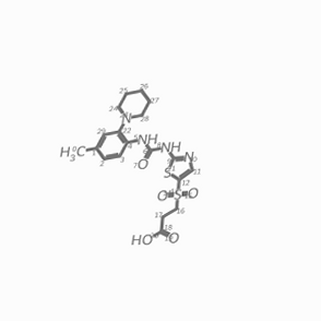 Cc1ccc(NC(=O)Nc2ncc(S(=O)(=O)CCC(=O)O)s2)c(N2CCCCC2)c1